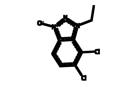 CCn1n[n+]([O-])c2ccc(Cl)c(Cl)c21